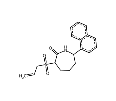 C=CCS(=O)(=O)C1CCCC(c2cccc3ccccc23)NC1=O